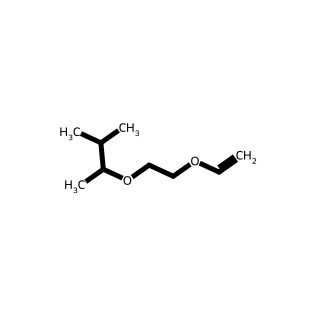 C=COCCOC(C)C(C)C